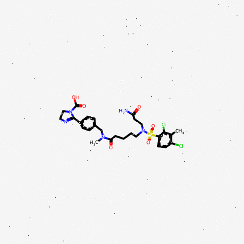 Cc1c(Cl)ccc(S(=O)(=O)N(CCCCC(=O)N(C)Cc2ccc(C3=NCCN3C(=O)O)cc2)CCC(N)=O)c1Cl